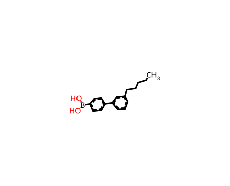 CCCCCc1cccc(-c2ccc(B(O)O)cc2)c1